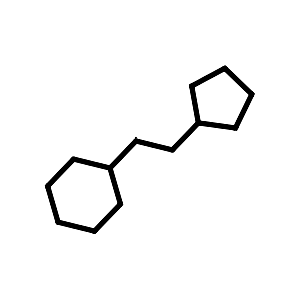 [CH](CC1CCCC1)C1CCCCC1